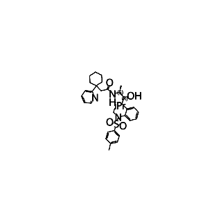 Cc1ccc(S(=O)(=O)N(CC(C)C)c2ccccc2C[C@@H](O)[C@H](C)NC(=O)CC2(c3ccccn3)CCCCC2)cc1